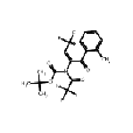 [CH2]c1ccccc1C(=O)C(=CC(F)(F)F)N(C(=O)OC(C)(C)C)C(=O)C(F)(F)F